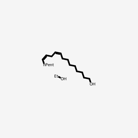 CCCCC/C=C\C/C=C\CCCCCCCCO.CCO